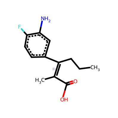 CCC/C(=C(/C)C(=O)O)c1ccc(F)c(N)c1